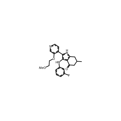 COCCOc1cnccc1-c1[nH]c2c(c1Nc1cccc(F)c1)C(=O)CC(C)C2